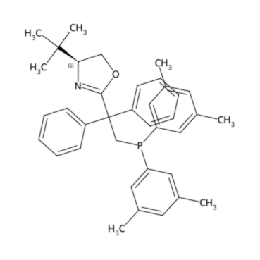 Cc1cc(C)cc(P(CC(C2=N[C@@H](C(C)(C)C)CO2)(c2ccccc2)c2ccccc2)c2cc(C)cc(C)c2)c1